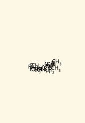 Cc1nc(-n2ccc(OCC(C)(C)C(F)(F)F)n2)ccc1C(=O)NS(=O)(=O)c1cn(C)nc1C